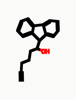 C#CCCCC(O)C1c2ccccc2-c2ccccc21